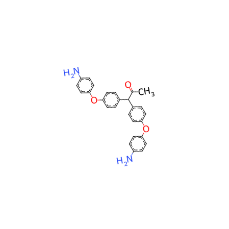 CC(=O)C(c1ccc(Oc2ccc(N)cc2)cc1)c1ccc(Oc2ccc(N)cc2)cc1